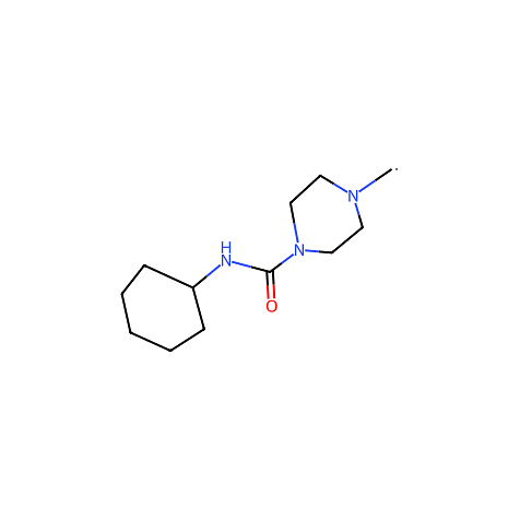 [CH2]N1CCN(C(=O)NC2CCCCC2)CC1